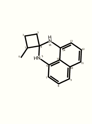 CC1CCC12Nc1cccc3cccc(c13)N2